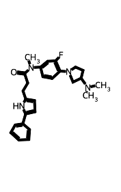 CN(C(=O)CCc1ccc(-c2ccccc2)[nH]1)c1ccc(N2CCC(N(C)C)C2)c(F)c1